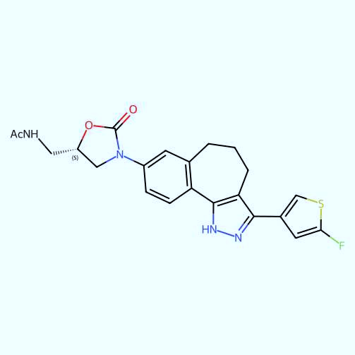 CC(=O)NC[C@H]1CN(c2ccc3c(c2)CCCc2c(-c4csc(F)c4)n[nH]c2-3)C(=O)O1